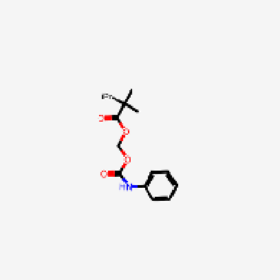 CC(C)C(C)(C)C(=O)OCOC(=O)Nc1ccccc1